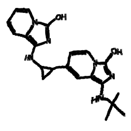 CC(C)(C)Nc1nc(O)n2ccc(C3CC3Nc3nc(O)n4ccccc34)cc12